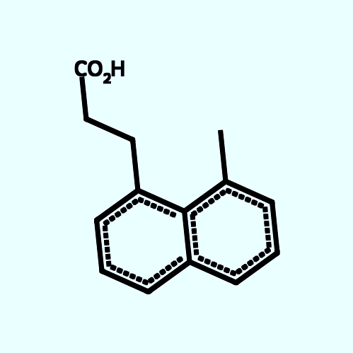 Cc1cccc2cccc(CCC(=O)O)c12